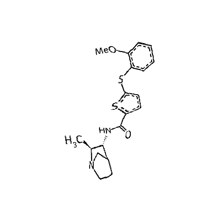 COc1ccccc1Sc1ccc(C(=O)N[C@@H]2C3CCN(C3)[C@H]2C)s1